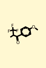 COc1ccc(C(=O)C(C)C(F)(F)F)cc1